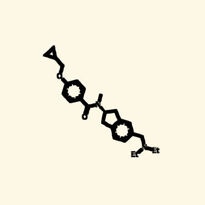 CCN(CC)Cc1ccc2c(c1)C[C@H](N(C)C(=O)c1ccc(OCC3CC3)cc1)C2